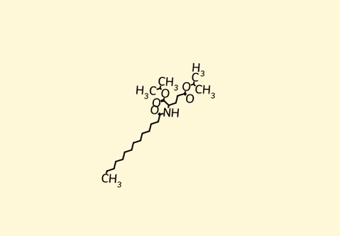 CCCCCCCCCCCCCC(=O)NC(CCC(=O)OC(C)C)C(=O)OC(C)C